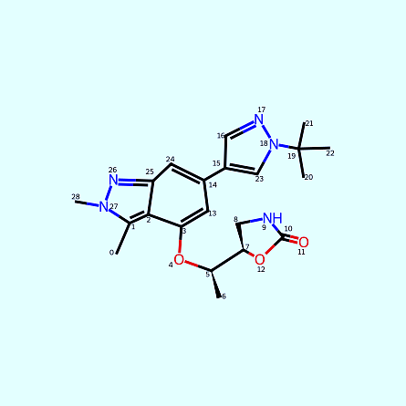 Cc1c2c(O[C@H](C)[C@H]3CNC(=O)O3)cc(-c3cnn(C(C)(C)C)c3)cc2nn1C